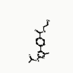 CC(=O)Nc1nc(C)c(-c2ccc(C(=O)NCCO)cc2)s1